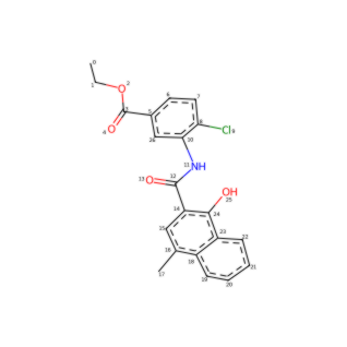 CCOC(=O)c1ccc(Cl)c(NC(=O)c2cc(C)c3ccccc3c2O)c1